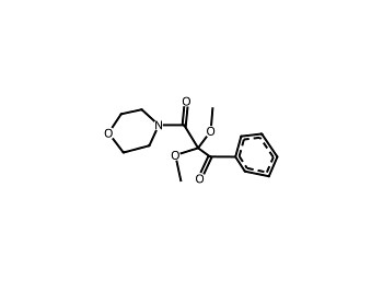 COC(OC)(C(=O)c1ccccc1)C(=O)N1CCOCC1